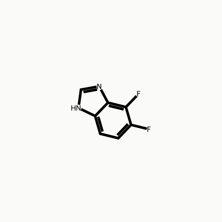 Fc1ccc2[nH]cnc2c1F